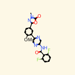 COc1ccc(-c2nn(C)c(=O)o2)cc1-c1cnc(NC(=O)c2c(F)cccc2F)cn1